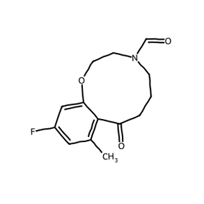 Cc1cc(F)cc2c1C(=O)CCCN(C=O)CCO2